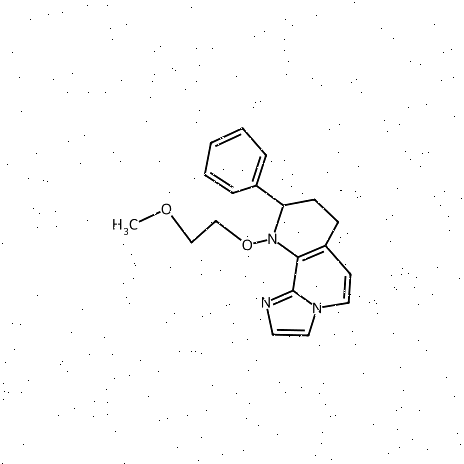 COCCON1c2c(ccn3ccnc23)CCC1c1ccccc1